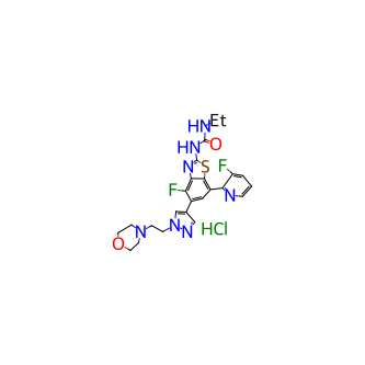 CCNC(=O)Nc1nc2c(F)c(-c3cnn(CCN4CCOCC4)c3)cc(-c3ncccc3F)c2s1.Cl